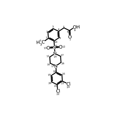 Cc1ccc(CC(=O)O)cc1S(=O)(=O)N1CCN(c2ccc(Cl)c(Cl)c2)CC1